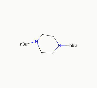 [CH2]CCCN1CCN(CCC[CH2])CC1